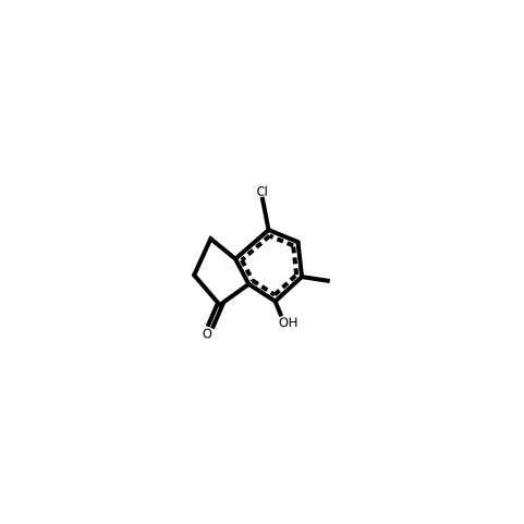 Cc1cc(Cl)c2c(c1O)C(=O)CC2